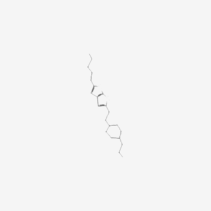 CCCCCc1cc2cc(CCC3CCC(CCC)CC3)sc2s1